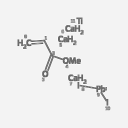 C=CC(=O)OC.[CaH2].[CaH2].[CaH2].[I][Pb][I].[Ti]